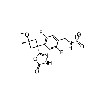 CO[C@]1(C)C[C@@](c2n[nH]c(=O)o2)(c2cc(F)c(CN[SH](=O)=O)cc2F)C1